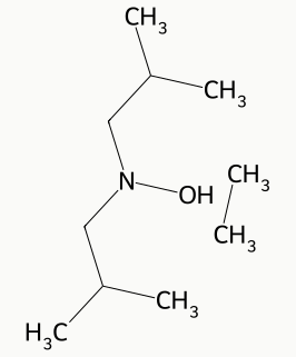 CC.CC(C)CN(O)CC(C)C